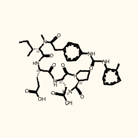 CCC(C)[C@@H](C(=O)N[C@@H](CCC(=O)O)C(=O)N[C@@H](CC(=O)O)C(=O)N1CCC[C@H]1C(N)=O)N(C)C(=O)Cc1ccc(NC(=O)Nc2ccccc2C)cc1